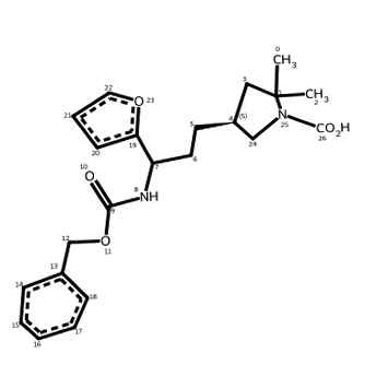 CC1(C)C[C@H](CCC(NC(=O)OCc2ccccc2)c2ccco2)CN1C(=O)O